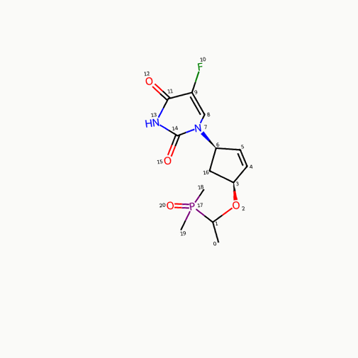 CC(O[C@@H]1C=C[C@H](n2cc(F)c(=O)[nH]c2=O)C1)P(C)(C)=O